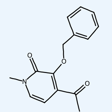 CC(=O)c1ccn(C)c(=O)c1OCc1ccccc1